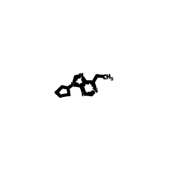 CCc1ncnc2c1ncn2C1CCCC1